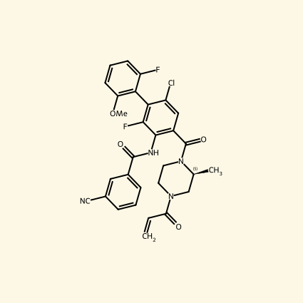 C=CC(=O)N1CCN(C(=O)c2cc(Cl)c(-c3c(F)cccc3OC)c(F)c2NC(=O)c2cccc(C#N)c2)[C@@H](C)C1